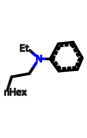 CCCCCCCCN(CC)c1ccccc1